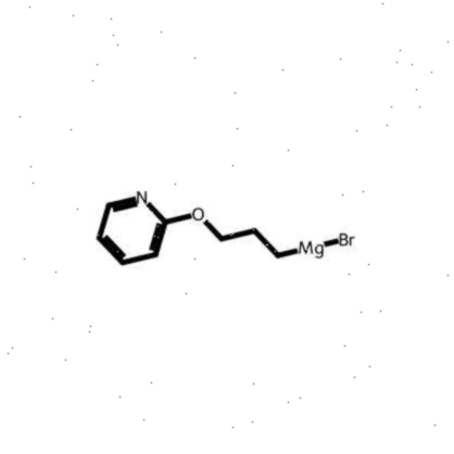 [Br][Mg][CH2]CCOc1ccccn1